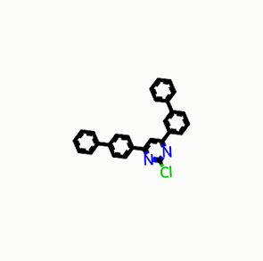 Clc1nc(-c2ccc(-c3ccccc3)cc2)cc(-c2cccc(-c3ccccc3)c2)n1